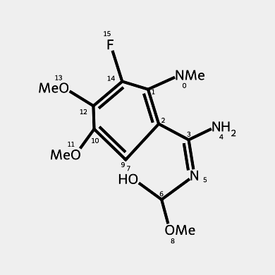 CNc1c(/C(N)=N\C(O)OC)cc(OC)c(OC)c1F